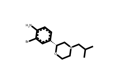 C[C](C)CN1CCO[C@H](c2ccc(N)c(Br)c2)C1